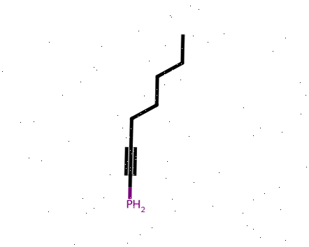 CCCCCC#CP